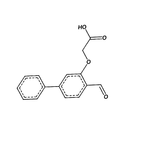 O=Cc1ccc(-c2ccccc2)cc1OCC(=O)O